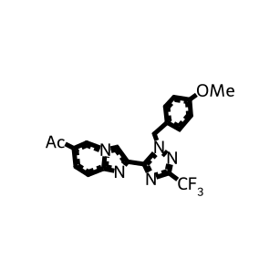 COc1ccc(Cn2nc(C(F)(F)F)nc2-c2cn3cc(C(C)=O)ccc3n2)cc1